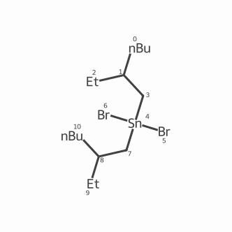 CCCCC(CC)[CH2][Sn]([Br])([Br])[CH2]C(CC)CCCC